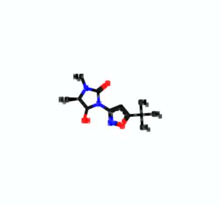 C[C@@H]1C(O)N(c2cc(C(C)(C)C)on2)C(=O)N1C